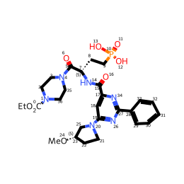 CCOC(=O)N1CCN(C(=O)[C@H](CCP(=O)(O)O)NC(=O)c2cc(N3CC[C@H](OC)C3)nc(-c3ccccc3)n2)CC1